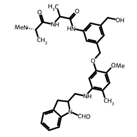 CN[C@@H](C)C(=O)NC(C)C(=O)Nc1cc(CO)cc(COc2cc(NCC3Cc4ccccc4N3C=O)c(C)cc2OC)c1